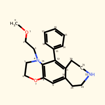 COCCN1CCOc2cc3c(c(-c4ccccc4)c21)CCNCC3